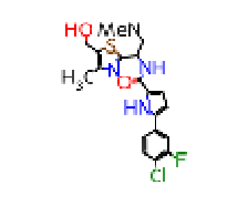 CNCC(NC(=O)c1ccc(-c2ccc(Cl)c(F)c2)[nH]1)c1nc(C)c(CO)s1